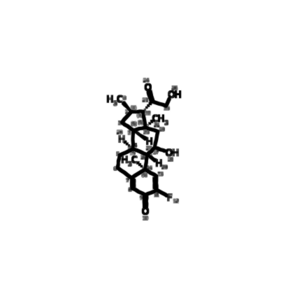 C[C@@H]1C[C@H]2[C@@H]3CCC4=CC(=O)C(F)=C[C@]4(C)[C@H]3C(O)C[C@]2(C)[C@H]1C(=O)CO